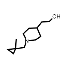 CC1(CN2CCC(CCO)CC2)CC1